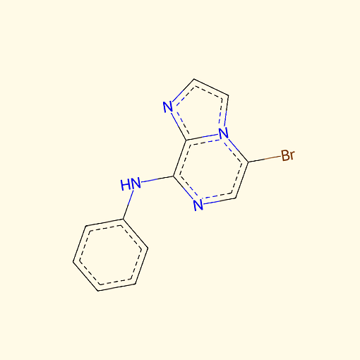 Brc1cnc(Nc2ccccc2)c2nccn12